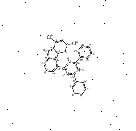 ClC1=CC(Cl)Cc2c1oc1cccc(-c3nc(C4=CCCC=C4)nc(-c4ccccc4)n3)c21